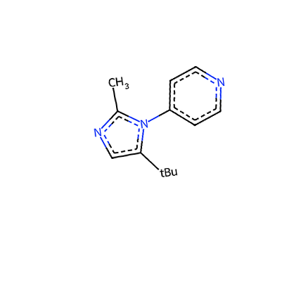 Cc1ncc(C(C)(C)C)n1-c1ccncc1